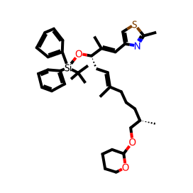 C/C(=C\C[C@H](O[Si](c1ccccc1)(c1ccccc1)C(C)(C)C)/C(C)=C/c1csc(C)n1)CCC[C@H](C)COC1CCCCO1